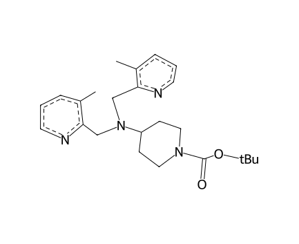 Cc1cccnc1CN(Cc1ncccc1C)C1CCN(C(=O)OC(C)(C)C)CC1